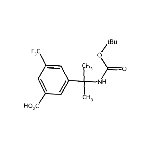 CC(C)(C)OC(=O)NC(C)(C)c1cc(C(=O)O)cc(C(F)(F)F)c1